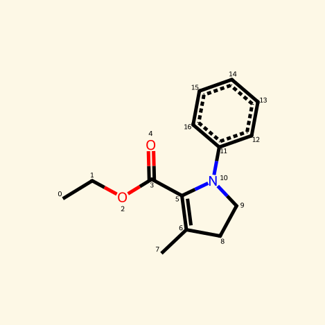 CCOC(=O)C1=C(C)CCN1c1ccccc1